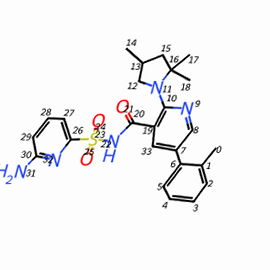 Cc1ccccc1-c1cnc(N2CC(C)CC2(C)C)c(C(=O)NS(=O)(=O)c2cccc(N)n2)c1